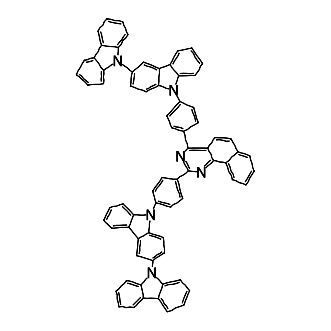 c1ccc2c(c1)ccc1c(-c3ccc(-n4c5ccccc5c5cc(-n6c7ccccc7c7ccccc76)ccc54)cc3)nc(-c3ccc(-n4c5ccccc5c5cc(-n6c7ccccc7c7ccccc76)ccc54)cc3)nc12